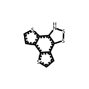 c1cc2c(s1)c1c(c3ccsc32)SSN1